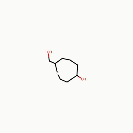 OCC1CCCC(O)CCC1